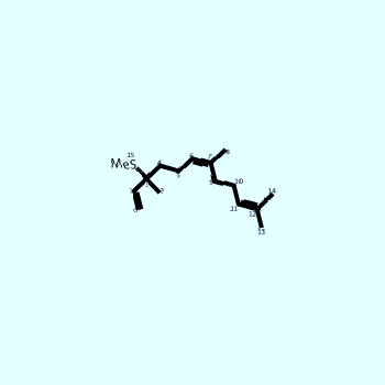 C=CC(C)(CCC=C(C)CCC=C(C)C)SC